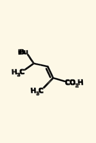 CCC(C)C(C)C=C(C)C(=O)O